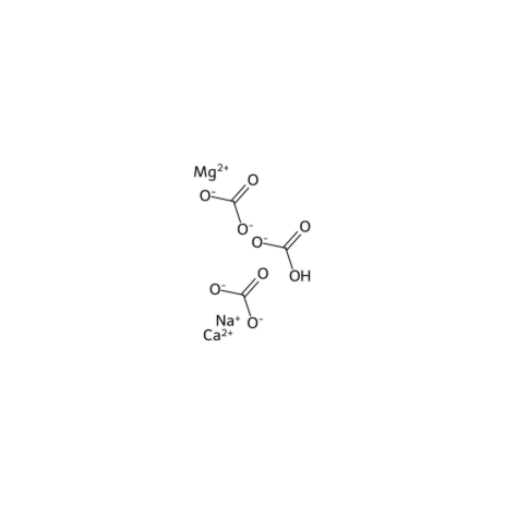 O=C([O-])O.O=C([O-])[O-].O=C([O-])[O-].[Ca+2].[Mg+2].[Na+]